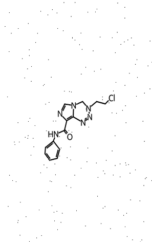 O=C(Nc1ccccc1)c1ncn2c1N=NN(CCCl)C2